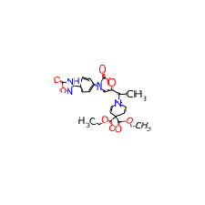 CCOC(=O)C1(C(=O)OCC)CCN(C(C)C2CN(c3ccc(-c4noc(=O)[nH]4)cc3)C(=O)O2)CC1